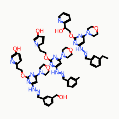 CCc1cccc(C=NNc2cc(N3CCOCC3)nc(OCC(O)c3ccccn3)n2)c1.Cc1cccc(C=NNc2cc(N3CCOCC3)nc(OCCc3ccc(O)cn3)n2)c1.OCc1cccc(C=NNc2cc(N3CCOCC3)nc(OCCc3ccc(O)cn3)n2)c1